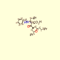 CC(C)CCC(=O)C[C@@H](CCC(C)C)C(=O)/C(C(=O)O)=C(/CC(C)C)NCc1ccccc1